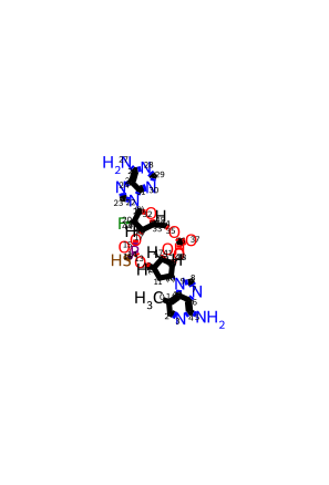 Cc1cnc(N)c2ncn([C@@H]3C[C@@H]4OP(=O)(S)O[C@H]5[C@@H](F)[C@H](n6cnc7c(N)ncnc76)O[C@@H]5COC(=O)O[C@@H]3[C@@H]4O)c12